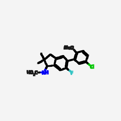 COc1ccc(Cl)cc1-c1cc2c(cc1F)C(NC(=O)O)C(C)(C)C2